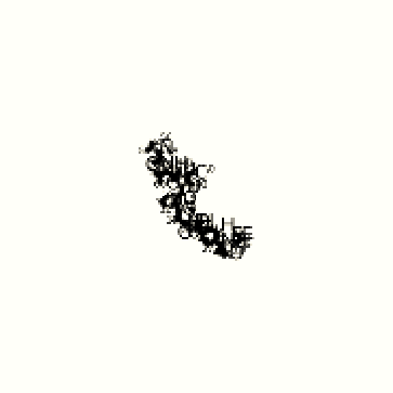 CC[C@H](C)[C@@H]([C@H](CC(=O)N1CCC[C@H]1[C@H](OC)[C@@H](C)C(=O)NS(=O)(=O)c1ccc(C2(NC(=O)C(F)(F)F)CC2)cc1)OC)N(C)C(=O)[C@@H](NC(=O)[C@H](C(C)C)N(C)C)C(C)C